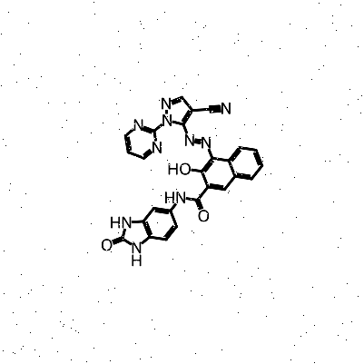 N#Cc1cnn(-c2ncccn2)c1/N=N/c1c(O)c(C(=O)Nc2ccc3[nH]c(=O)[nH]c3c2)cc2ccccc12